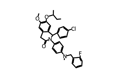 CCC(C)Oc1cc2c(cc1OC)CC(=O)N(c1ccc(N(C)Cc3ccccc3F)cc1)C2c1ccc(Cl)cc1